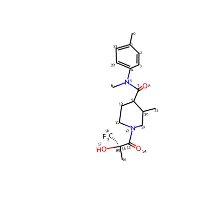 Cc1ccc(N(C)C(=O)C2CCN(C(=O)[C@@](C)(O)C(F)(F)F)CC2C)cc1